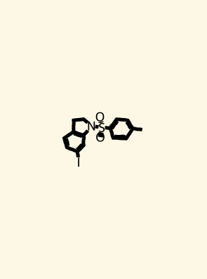 Cc1ccc(S(=O)(=O)N2CCc3ccc(I)cc32)cc1